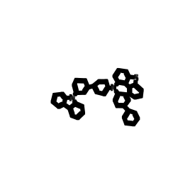 c1ccc(-c2ccc(N(c3ccc(-c4cccc(-n5c6ccccc6c6ccccc65)c4)cc3)c3cccc4sc5ccccc5c34)cc2)cc1